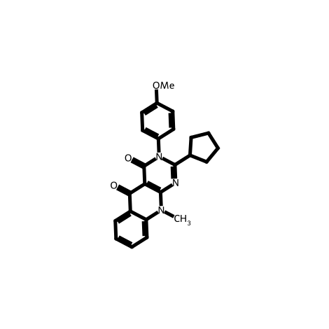 COc1ccc(-n2c(C3CCCC3)nc3c(c(=O)c4ccccc4n3C)c2=O)cc1